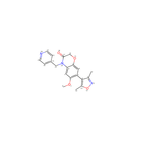 COc1cc2c(cc1-c1c(C)noc1C)OCC(=O)N2Cc1ccncc1